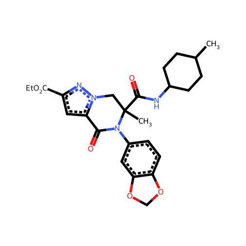 CCOC(=O)c1cc2n(n1)CC(C)(C(=O)NC1CCC(C)CC1)N(c1ccc3c(c1)OCO3)C2=O